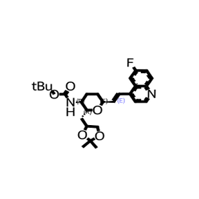 CC(C)(C)OC(=O)N[C@@H]1CC[C@@H](/C=C/c2ccnc3ccc(F)cc23)O[C@@H]1CC1COC(C)(C)O1